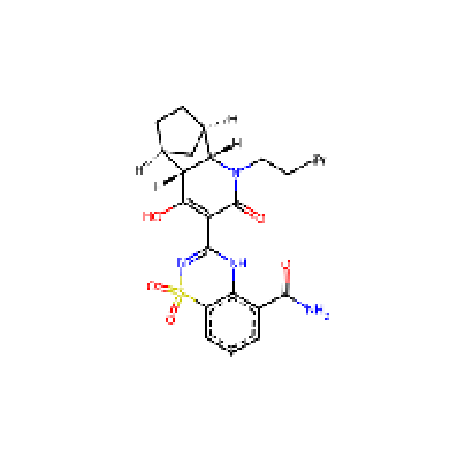 CC(C)CCN1C(=O)C(C2=NS(=O)(=O)c3c[c]cc(C(N)=O)c3N2)=C(O)[C@@H]2[C@H]3CC[C@H](C3)[C@@H]21